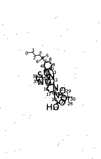 CCCCC(C)(C)c1ccc(CN(Cc2cccc(N(CC(=O)O)C(=O)OC(C)(C)C)n2)S(=O)(=O)c2nccs2)cc1